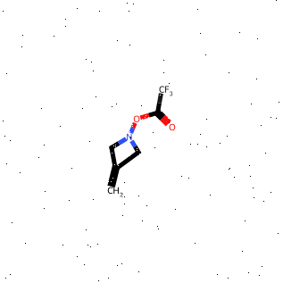 C=C1CN(OC(=O)C(F)(F)F)C1